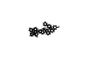 C=C/C=C\c1oc2c(N(c3cccc(-c4ccccc4)c3)c3cc4c(c5ccccc35)-c3ccc5cc(N(c6cccc(-c7ccccc7)c6)c6cccc7c6oc6ccccc67)ccc5c3C4(C)C)cccc2c1C